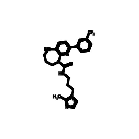 Cc1nccn1CCCNC(=O)N1CCCNc2ccc(-c3cccc(C(F)(F)F)c3)nc21